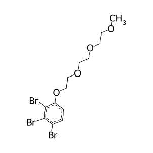 COCCOCCOCCOc1ccc(Br)c(Br)c1Br